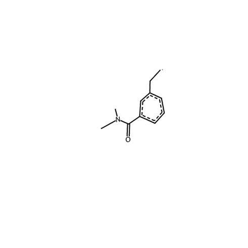 [CH2]Cc1cccc(C(=O)N(C)C)c1